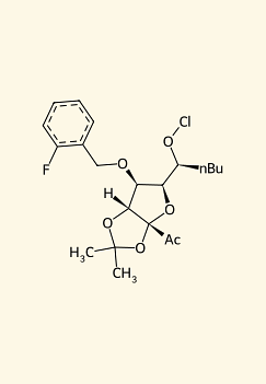 CCCC[C@H](OCl)[C@H]1O[C@]2(C(C)=O)OC(C)(C)O[C@@H]2[C@H]1OCc1ccccc1F